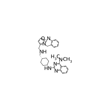 CN(C)c1nc(N[C@H]2CC[C@@H](CNCc3cccn3Cc3ccccc3[N+](=O)[O-])CC2)nc2ccccc12